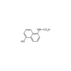 O=C(O)Nc1cccc2c(O)cccc12